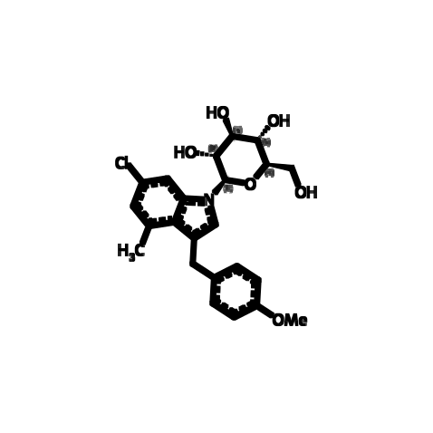 COc1ccc(Cc2cn([C@@H]3O[C@H](CO)[C@@H](O)[C@H](O)[C@H]3O)c3cc(Cl)cc(C)c23)cc1